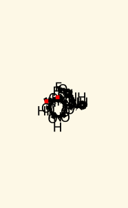 CCCN1C(=O)[C@@H]2CCCN2C(=O)[C@@H](NC(=O)[C@H](Cc2ccccc2)NC(=O)Nc2ccc(OC(F)(F)F)cc2)COC(=O)CNC(=O)[C@H](C)NC(=O)[C@@H]1C